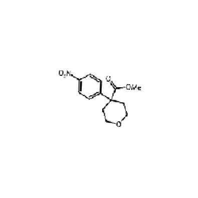 COC(=O)C1(c2ccc([N+](=O)[O-])cc2)CCOCC1